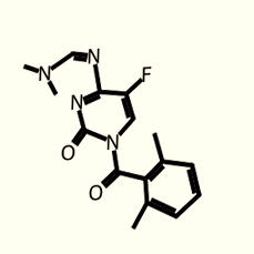 Cc1cccc(C)c1C(=O)n1cc(F)c(/N=C\N(C)C)nc1=O